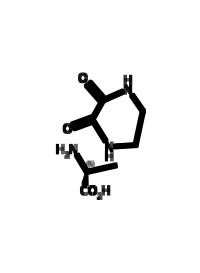 C[C@H](N)C(=O)O.O=C1NCCNC1=O